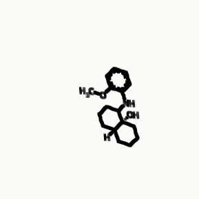 COc1ccccc1NC1CCC[C@H]2CCCC[C@]12O